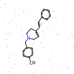 N#Cc1ccc(CN2CC=C(/C=C/c3ccccc3)CC2)cc1